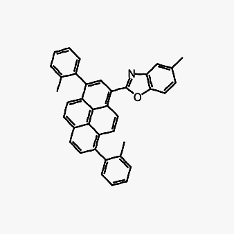 Cc1ccc2oc(-c3cc(-c4ccccc4C)c4ccc5ccc(-c6ccccc6C)c6ccc3c4c56)nc2c1